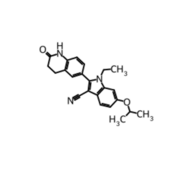 CCn1c(-c2ccc3c(c2)CCC(=O)N3)c(C#N)c2ccc(OC(C)C)cc21